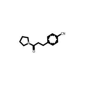 N#Cc1ccc(CCC(=O)N2CCCC2)cc1